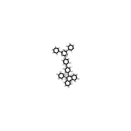 c1ccc(-c2nc(-c3ccccc3)nc(-c3ccc(-c4ccc(-c5c(-c6ccccc6)c6ccccc6c6ccccc56)cc4)cc3)n2)cc1